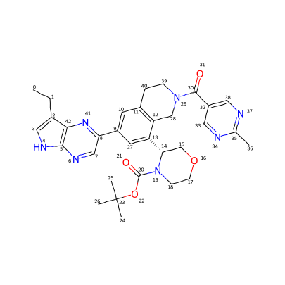 CCc1c[nH]c2ncc(-c3cc4c(c([C@@H]5COCCN5C(=O)OC(C)(C)C)c3)CN(C(=O)c3cnc(C)nc3)CC4)nc12